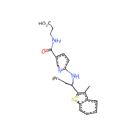 Cc1c(C(CC(C)C)Nc2ccc(C(=O)NCCC(=O)O)cn2)sc2ccccc12